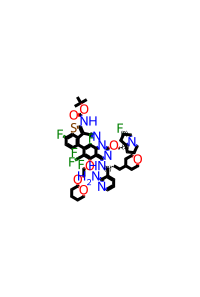 CC(C)(C)OC(=O)Nc1sc2c(F)ccc(-c3c(C(F)(F)F)c(OCCOC4CCCCO4)c4c(N[C@H](CCC5CCOCC5)c5cccnc5N)nc(OC[C@@]56CCCN5C[C@H](F)C6)nc4c3F)c2c1C#N